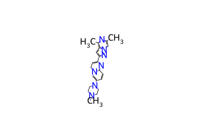 Cc1cn2nc(C3=CCN4C=C(N5CCN(C)CC5)C=CC4=N3)cc2c(C)n1